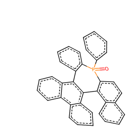 O=P1(c2ccccc2)c2ccccc2-c2c(c3ccccc3c3ccccc23)-c2c1ccc1ccccc21